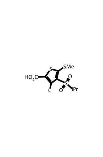 CSc1sc(C(=O)O)c(Cl)c1S(=O)(=O)C(C)C